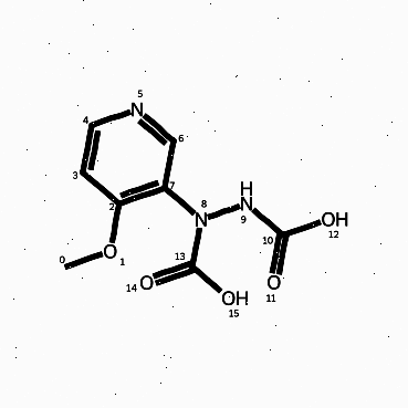 COc1ccncc1N(NC(=O)O)C(=O)O